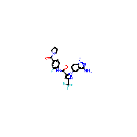 Nc1n[nH]c2ccc(-n3nc(C(F)(F)F)cc3C(=O)Nc3ccc(C(=O)N4CCCC4)cc3F)cc12